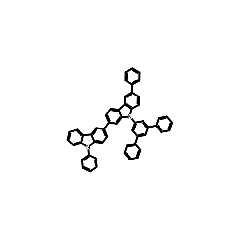 c1ccc(-c2cc(-c3ccccc3)cc(-n3c4ccc(-c5ccccc5)cc4c4ccc(-c5ccc6c(c5)c5ccccc5n6-c5ccccc5)cc43)c2)cc1